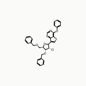 Cl[C@H]1C(c2csc3c(Oc4ccccc4)ncnc23)O[C@H](COCc2ccccc2)[C@H]1OCc1ccccc1